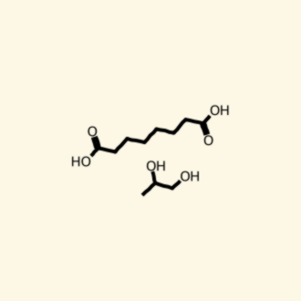 CC(O)CO.O=C(O)CCCCCCC(=O)O